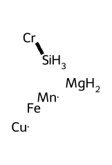 [Cu].[Fe].[MgH2].[Mn].[SiH3][Cr]